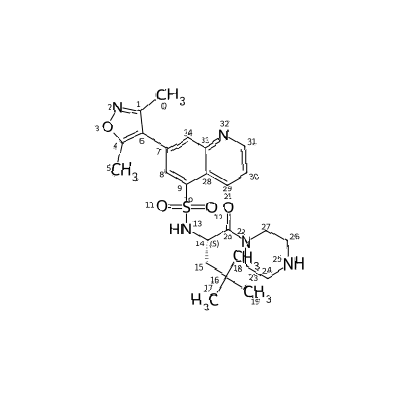 Cc1noc(C)c1-c1cc(S(=O)(=O)N[C@@H](CC(C)(C)C)C(=O)N2CCNCC2)c2cccnc2c1